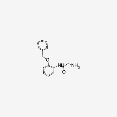 NCC(=O)Nc1ccccc1OCc1ccccc1